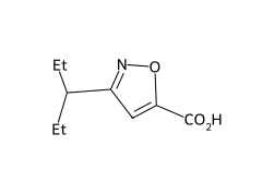 CCC(CC)c1cc(C(=O)O)on1